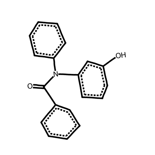 O=C(c1ccccc1)N(c1ccccc1)c1cccc(O)c1